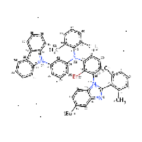 Cc1cccc(C)c1-c1nc2cc(C(C)(C)C)ccc2n1-c1cccc(N(c2cccc(-n3c4ccccc4c4ccccc43)c2)c2c(C)cccc2C)c1Br